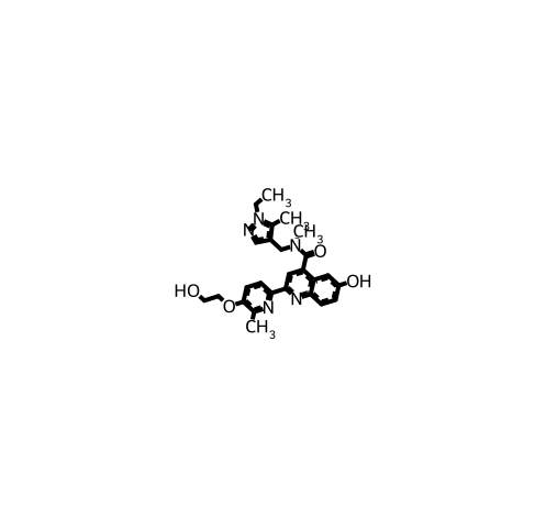 CCn1ncc(CN(C)C(=O)c2cc(-c3ccc(OCCO)c(C)n3)nc3ccc(O)cc23)c1C